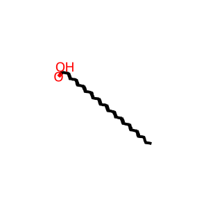 CCCC=CC=CC=CC=CC=CC=CC=CC=CC=CC=CC(=O)O